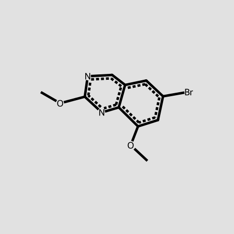 COc1ncc2cc(Br)cc(OC)c2n1